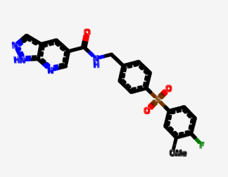 COc1cc(S(=O)(=O)c2ccc(CNC(=O)c3cnc4[nH]ncc4c3)cc2)ccc1F